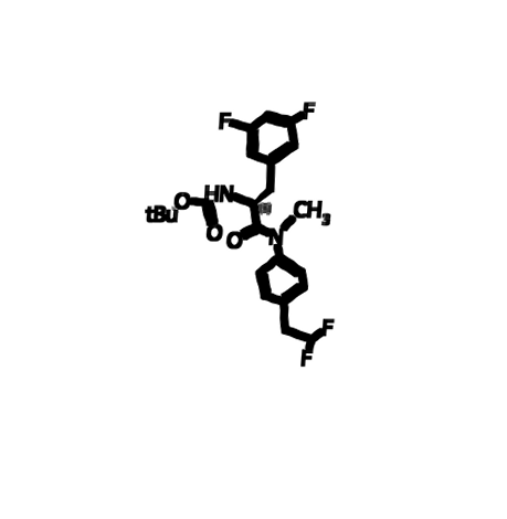 CN(C(=O)[C@H](Cc1cc(F)cc(F)c1)NC(=O)OC(C)(C)C)c1ccc(CC(F)F)cc1